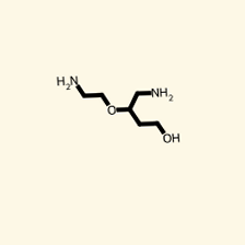 NCCOC(CN)CCO